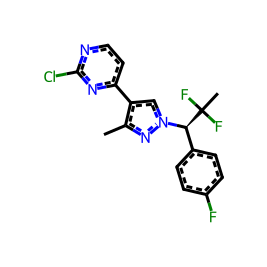 Cc1nn([C@H](c2ccc(F)cc2)C(C)(F)F)cc1-c1ccnc(Cl)n1